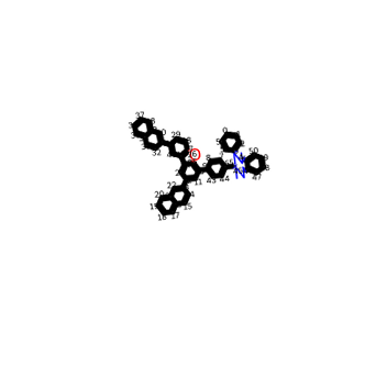 c1ccc(-n2c(-c3ccc(-c4cc(-c5ccc6ccccc6c5)cc5c4oc4ccc(-c6ccc7ccccc7c6)cc45)cc3)nc3ccccc32)cc1